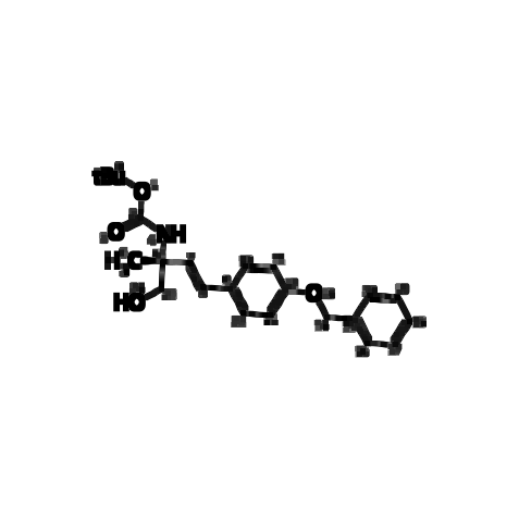 CC(C)(C)OC(=O)N[C@](C)(/C=C/c1ccc(OCc2ccccc2)cc1)CO